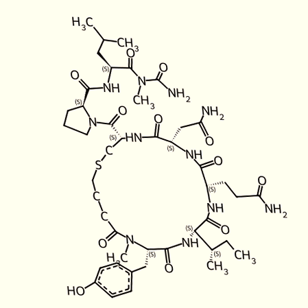 CC[C@H](C)[C@@H]1NC(=O)[C@H](Cc2ccc(O)cc2)N(C)C(=O)CCCSC[C@H](C(=O)N2CCC[C@H]2C(=O)N[C@@H](CC(C)C)C(=O)N(C)C(N)=O)NC(=O)[C@H](CC(N)=O)NC(=O)[C@H](CCC(N)=O)NC1=O